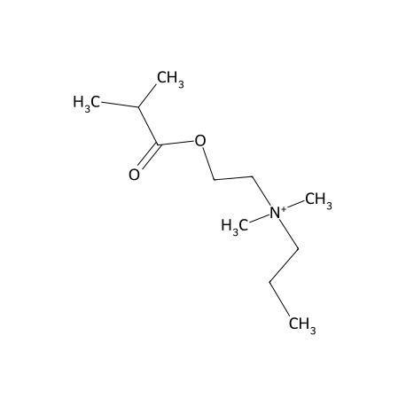 CCC[N+](C)(C)CCOC(=O)C(C)C